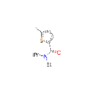 CCN(C(=O)c1ccc(C)s1)C(C)C